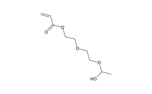 C=CC(=O)OCCOCCOC(C)O